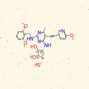 COc1ccc(C#Cc2c(C)nc(NCc3c(OC)cccc3OC)nc2N[C@@H]2C[C@H](CO)[C@@H](O)[C@H]2O)cn1